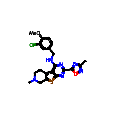 COc1ccc(CNc2nc(-c3nc(C)no3)nc3sc4c(c23)CCN(C)C4)cc1Cl